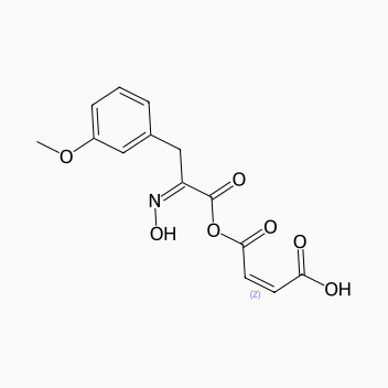 COc1cccc(CC(=NO)C(=O)OC(=O)/C=C\C(=O)O)c1